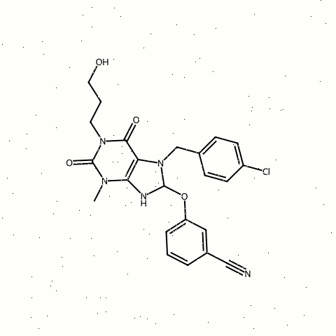 Cn1c2c(c(=O)n(CCCO)c1=O)N(Cc1ccc(Cl)cc1)C(Oc1cccc(C#N)c1)N2